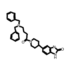 O=C1[N]c2cc(C3CCN(C(=O)CCCN(Cc4ccccc4)Cc4ccccc4)CC3)ccc2N1